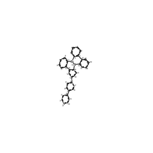 c1ccc2c(c1)B1c3ccccc3-c3cc(-c4ccc(-c5ccncc5)cc4)ccc3N1c1ccccc1-2